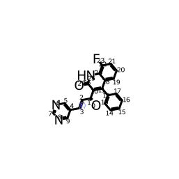 O=C(/C=C/c1cncnc1)c1c(-c2ccccc2)c2cccc(F)c2[nH]c1=O